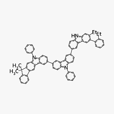 CCc1ccccc1-c1cc2c(cc1CC)[nH]c1ccc(-c3ccc4c(c3)c3cc(-c5ccc6c(c5)c5cc7c(cc5n6-c5ccccc5)C(C)(C)c5ccccc5-7)ccc3n4-c3ccccc3)cc12